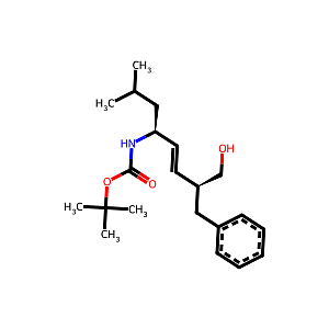 CC(C)C[C@@H](/C=C/[C@@H](CO)Cc1ccccc1)NC(=O)OC(C)(C)C